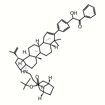 C=C(C)[C@@H]1CC[C@]2(NCCN3C[C@H]4CC[C@@H](C3)N4C(=O)OC(C)(C)C)CC[C@]3(C)[C@H](CC[C@@H]4[C@@]5(C)CC=C(c6ccc(C(O)C(=O)c7ccccc7)cc6)C(C)(C)[C@@H]5CC[C@]43C)[C@@H]12